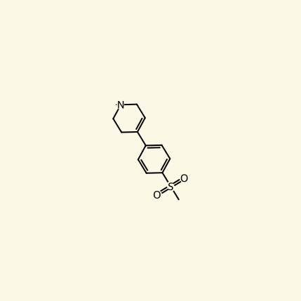 CS(=O)(=O)c1ccc(C2=CC[N]CC2)cc1